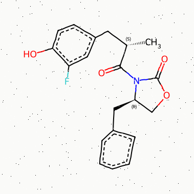 C[C@@H](Cc1ccc(O)c(F)c1)C(=O)N1C(=O)OC[C@H]1Cc1ccccc1